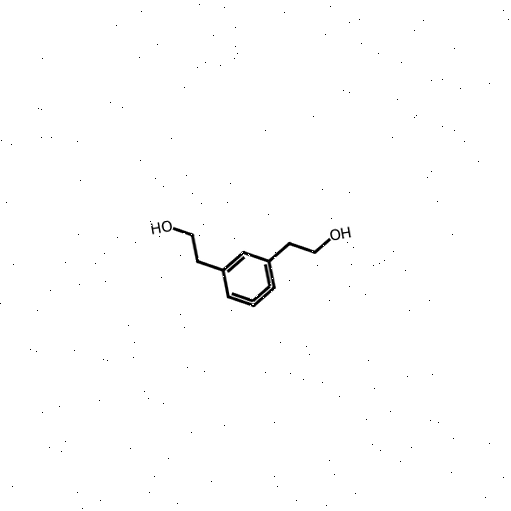 OCCC1=C=C=CC(CCO)=C1